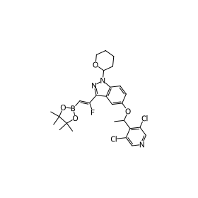 CC(Oc1ccc2c(c1)c(/C(F)=C/B1OC(C)(C)C(C)(C)O1)nn2C1CCCCO1)c1c(Cl)cncc1Cl